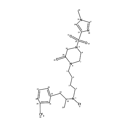 CCN(CCCCN1CCN(S(=O)(=O)c2cn(C)cn2)CC1=O)C(C)Cc1cccc(C(F)(F)F)c1